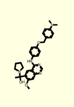 COc1cc2ncnc(Nc3ccc(OCc4ccc(N(C)C)cc4)cc3)c2cc1C(C)(O)N1CCCC1